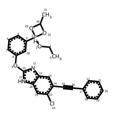 CCO[PH]1(c2cccc(Oc3nc4cc(C#Cc5ccccc5)c(Cl)cc4[nH]3)c2)OC(C)O1